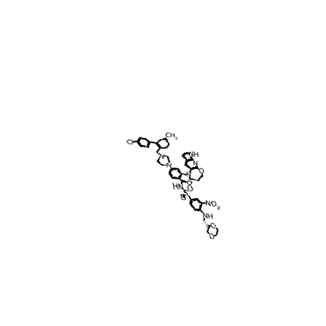 C[C@@H]1CCC(CN2CCN(c3ccc(C(=O)NS(=O)(=O)c4ccc(NC[C@H]5COCCO5)c([N+](=O)[O-])c4)c(N4CCCOc5nc6[nH]ccc6cc54)c3)CC2)=C(c2ccc(Cl)cc2)C1